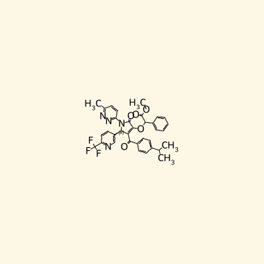 COC(=O)C(OC1=C(C(=O)c2ccc(C(C)C)cc2)[C@@H](c2ccc(C(F)(F)F)nc2)N(c2ccc(C)nn2)C1=O)c1ccccc1